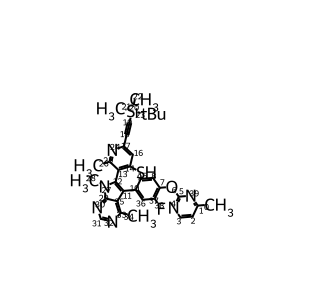 Cc1ccnc(Oc2ccc(-c3c(-c4c(S)cc(C#C[Si](C)(C)C(C)(C)C)nc4C)n(C)c4ncnc(C)c34)cc2F)n1